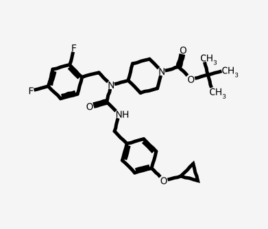 CC(C)(C)OC(=O)N1CCC(N(Cc2ccc(F)cc2F)C(=O)NCc2ccc(OC3CC3)cc2)CC1